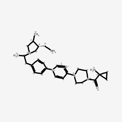 C/N=C(\C=C/N(C=O)c1ccc(CC(C)N2CC(C)[C@H](CN)C2)cc1)N1CCN(C(=O)C2(N)CC2)CC1